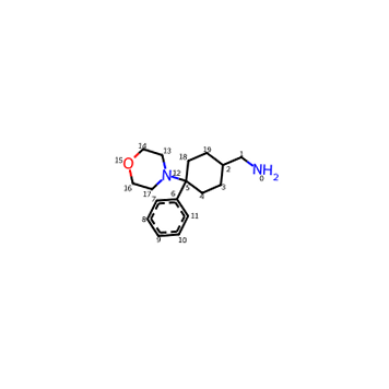 NCC1CCC(c2ccccc2)(N2CCOCC2)CC1